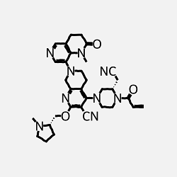 C=CC(=O)N1CCN(c2c(C#N)c(OC[C@@H]3CCCN3C)nc3c2CCN(c2cncc4c2N(C)C(=O)CC4)C3)C[C@@H]1CC#N